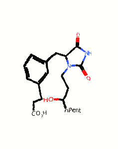 CCCCCC(O)CCN1C(=O)NC(=O)C1Cc1cccc(CCC(=O)O)c1